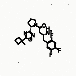 CC1(c2nc([C@@H]3CCCN3C(=O)C[C@H](N)Cc3cc(F)c(F)cc3F)no2)CCC1